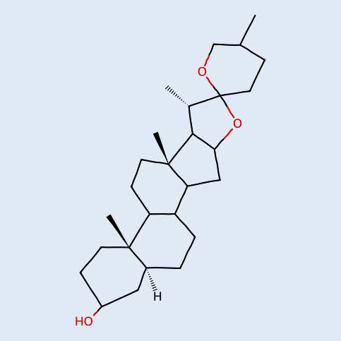 CC1CCC2(OC1)OC1CC3C4CC[C@H]5CC(O)CC[C@]5(C)C4CC[C@]3(C)C1[C@@H]2C